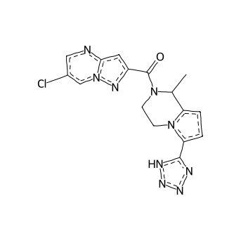 CC1c2ccc(-c3nnn[nH]3)n2CCN1C(=O)c1cc2ncc(Cl)cn2n1